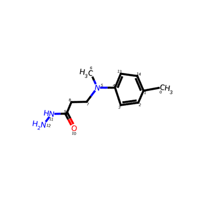 Cc1ccc(N(C)CCC(=O)NN)cc1